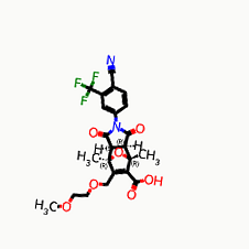 COCCOCC1=C(C(=O)O)[C@]2(C)O[C@]1(C)[C@H]1C(=O)N(c3ccc(C#N)c(C(F)(F)F)c3)C(=O)[C@H]12